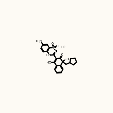 CC1(CC2CCCC2)C(=O)C(C2=NS(=O)(=O)c3cc(N)ccc3N2)=C(O)c2ccccc21.Cl